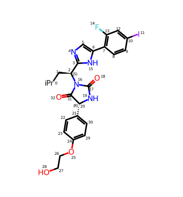 CC(C)C[C@@H](c1ncc(-c2ccc(I)cc2F)[nH]1)N1C(=O)N[C@H](c2ccc(OCCO)cc2)C1=O